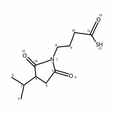 CC(C)C1CC(=O)N(CCCC(=O)S)C1=O